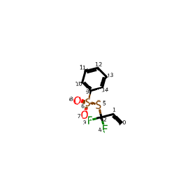 C=CC(F)(F)SS(=O)(=O)c1ccccc1